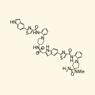 CNC1(C(N)=O)CCN(c2ccccc2NC(=O)c2csc(-c3ccc4[nH]c(CS(=O)(=O)NC5CCN(c6ccccc6NC(=O)c6csc(-c7ccc8[nH]ccc8c7)n6)CC5)cc4c3)n2)CC1